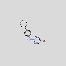 Brc1cnc(Nc2ccc(C3CCCCC3)cc2)nc1